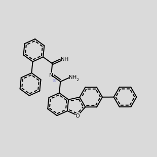 N=C(/N=C(\N)c1cccc2oc3cc(-c4ccccc4)ccc3c12)c1ccccc1-c1ccccc1